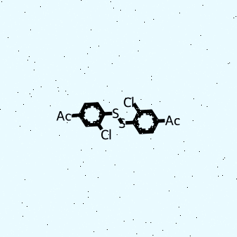 CC(=O)c1ccc(SSc2ccc(C(C)=O)cc2Cl)c(Cl)c1